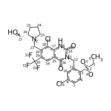 CCS(=O)(=O)c1ccc(Cl)cc1Cn1c(=O)[nH]c2c(Cl)c(CN3CCC[C@H]3CO)c(C(F)(F)F)cc2c1=O